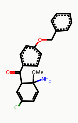 COC1(N)C=CC(Cl)=CC1C(=O)c1ccc(OCc2ccccc2)cc1